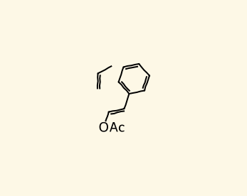 C=CC.CC(=O)OC=Cc1ccccc1